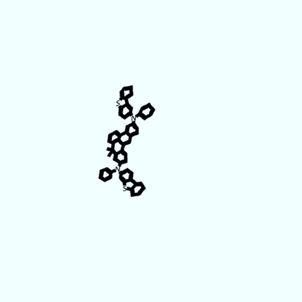 CC1(C)c2cc(N(c3ccccc3)c3ccc4c(c3)sc3ccccc34)ccc2-c2cc3ccc(N(c4ccccc4)c4ccc5sc6ccccc6c5c4)cc3c3cccc1c23